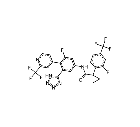 O=C(Nc1cc(F)c(-c2ccnc(C(F)(F)F)c2)c(-c2nnn[nH]2)c1)C1(c2ccc(C(F)(F)F)cc2F)CC1